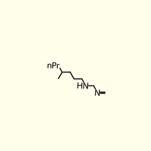 C=NCNCCCC(C)CCC